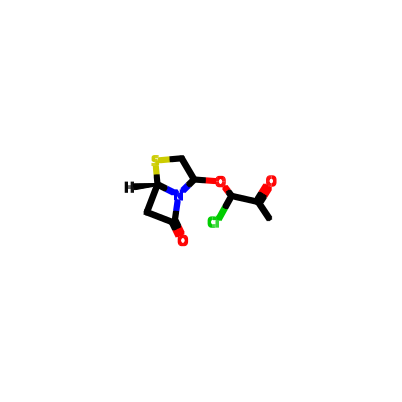 CC(=O)C(Cl)OC1CS[C@H]2CC(=O)N12